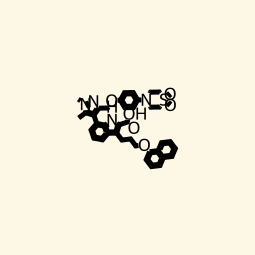 Cc1c(-c2cccc3c(CCCOc4cccc5ccccc45)c(C(=O)O)[nH]c23)c(COc2ccc(N3CCS(=O)(=O)CC3)cc2)nn1C